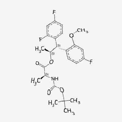 COc1cc(F)ccc1[C@@H](c1ccc(F)cc1F)[C@H](C)OC(=O)[C@H](C)NC(=O)OC(C)(C)C